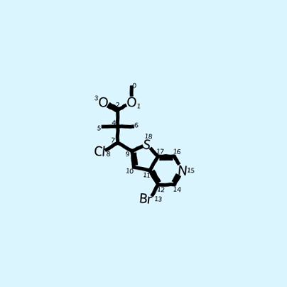 COC(=O)C(C)(C)C(Cl)c1cc2c(Br)cncc2s1